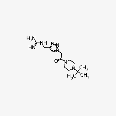 CC(C)(C)N1CCN(C(=O)Cn2cc(CNC(=N)N)nn2)CC1